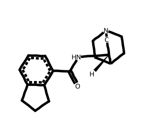 O=C(N[C@@H]1CN2CCC1CC2)c1cccc2c1CCC2